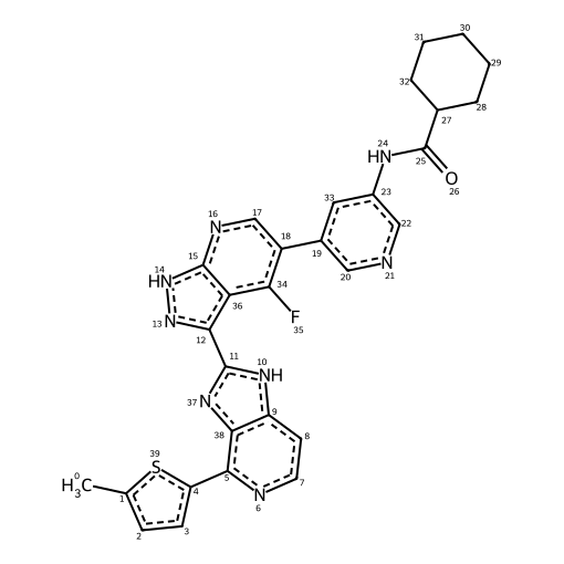 Cc1ccc(-c2nccc3[nH]c(-c4n[nH]c5ncc(-c6cncc(NC(=O)C7CCCCC7)c6)c(F)c45)nc23)s1